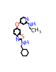 CCNc1cc(Oc2ccc3nc(NCC4CCCCC4)sc3c2)ccn1